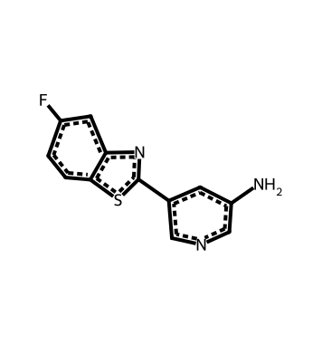 Nc1cncc(-c2nc3cc(F)ccc3s2)c1